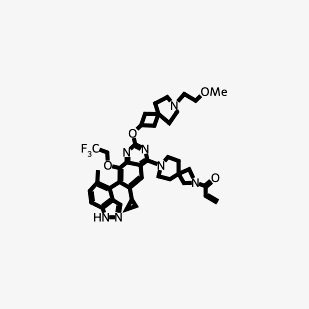 C=CC(=O)N1CC2(CCN(c3nc(OC4CC5(CCN(CCOC)CC5)C4)nc4c(OCC(F)(F)F)c(-c5c(C)ccc6[nH]ncc56)c(C5CC5)cc34)CC2)C1